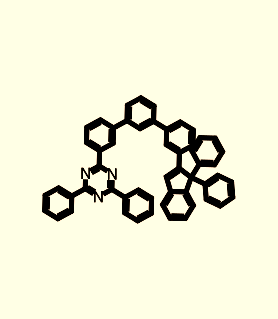 C1=C(c2cccc(-c3cccc(-c4cccc(-c5nc(-c6ccccc6)nc(-c6ccccc6)n5)c4)c3)c2)C(c2ccccc2)(c2ccccc2)c2ccccc21